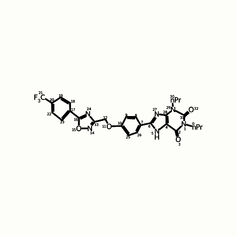 CCCn1c(=O)c2[nH]c(-c3ccc(OCc4noc(-c5ccc(C(F)(F)F)cc5)n4)cc3)nc2n(CCC)c1=O